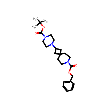 CC(C)(C)OC(=O)N1CCN(C2CC3(CCN(C(=O)OCc4ccccc4)CC3)C2)CC1